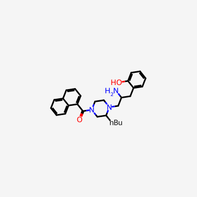 CCCCC1CN(C(=O)c2cccc3ccccc23)CCN1CC(N)Cc1ccccc1O